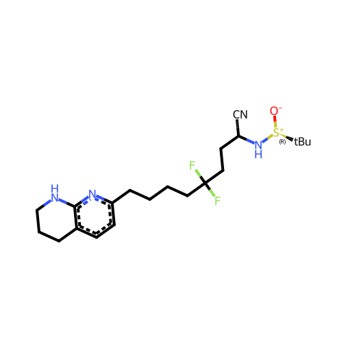 CC(C)(C)[S@+]([O-])NC(C#N)CCC(F)(F)CCCCc1ccc2c(n1)NCCC2